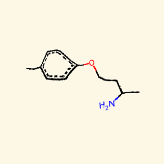 Cc1ccc(OCCC(C)N)cc1